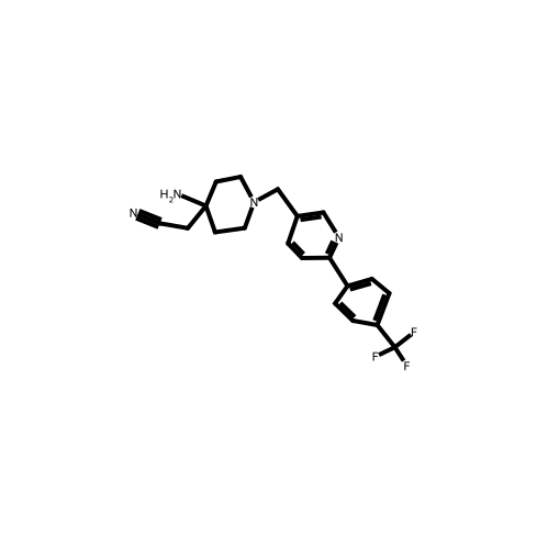 N#CCC1(N)CCN(Cc2ccc(-c3ccc(C(F)(F)F)cc3)nc2)CC1